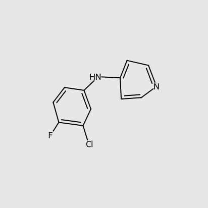 Fc1ccc(Nc2ccncc2)cc1Cl